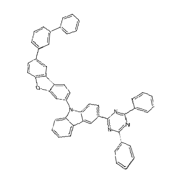 c1ccc(-c2cccc(-c3ccc4oc5cc(-n6c7ccccc7c7cc(-c8nc(-c9ccccc9)nc(-c9ccccc9)n8)ccc76)ccc5c4c3)c2)cc1